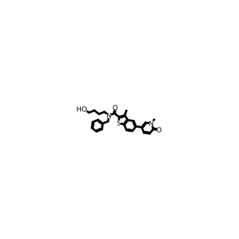 Cc1c(C(=O)N(CCCCO)Cc2ccccc2)sc2ccc(-c3ccc(=O)n(C)c3)cc12